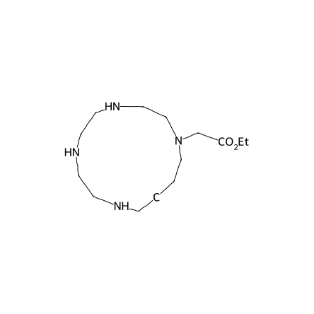 CCOC(=O)CN1CCCCNCCNCCNCC1